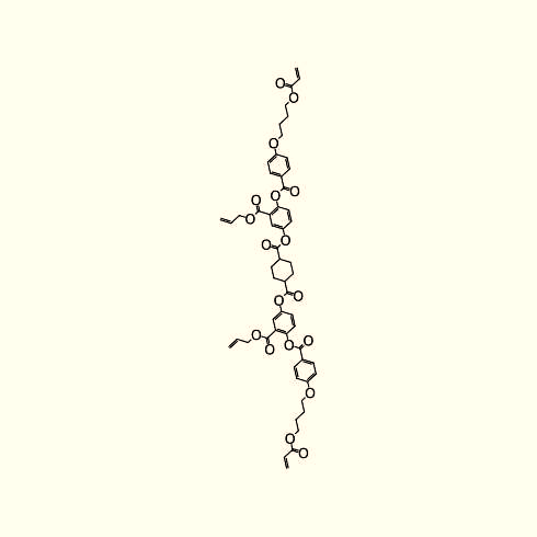 C=CCOC(=O)c1cc(OC(=O)C2CCC(C(=O)Oc3ccc(OC(=O)c4ccc(OCCCCOC(=O)C=C)cc4)c(C(=O)OCC=C)c3)CC2)ccc1OC(=O)c1ccc(OCCCCOC(=O)C=C)cc1